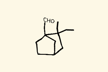 CC1(C)CC2CCC1(C=O)C2